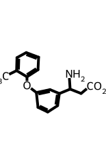 NC(CC(=O)O)c1cccc(Oc2ccccc2C(F)(F)F)c1